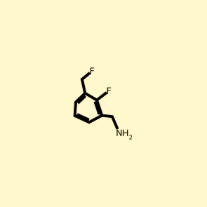 NCc1cccc(CF)c1F